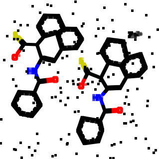 O=C(NC1=Cc2cccc3cccc(c23)C1C([O-])=S)c1ccccc1.O=C(NC1=Cc2cccc3cccc(c23)C1C([O-])=S)c1ccccc1.[Zn+2]